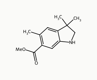 COC(=O)c1cc2c(cc1C)C(C)(C)CN2